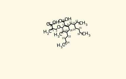 C=C(COCC(C(=O)O)=C(CC(CC)CCCC)CC(CC)CCCC)C(=O)O